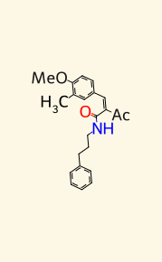 COc1ccc(C=C(C(C)=O)C(=O)NCCCc2ccccc2)cc1C